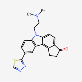 CCN(CC)CCn1c2ccc(-c3nncs3)cc2c2c3c(ccc21)C(=O)CC3